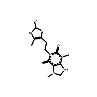 CC(=O)C1NC(C)=C(CCn2c(=O)c3c(n(C)c2=O)NCN3C)S1